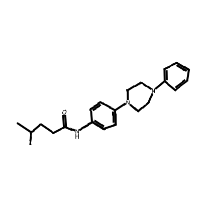 CC(C)CCC(=O)Nc1ccc(N2CCN(c3[c]cccc3)CC2)cc1